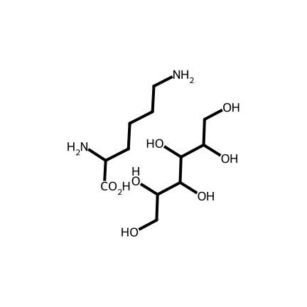 NCCCCC(N)C(=O)O.OCC(O)C(O)C(O)C(O)CO